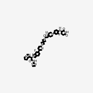 O=C1CCC(Nc2ccc(N3CCC(O)(CC(=O)N4CC5(C4)CN(c4ccc(-c6ccc7cn(C(C(=O)Nc8nccs8)c8ncn9c8CCC9)nc7c6F)cn4)C5)CC3)cc2F)C(=O)N1